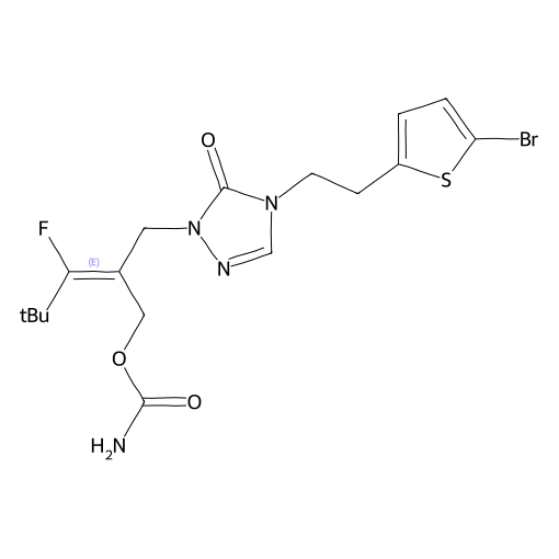 CC(C)(C)/C(F)=C(\COC(N)=O)Cn1ncn(CCc2ccc(Br)s2)c1=O